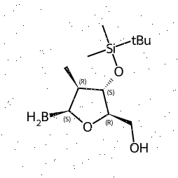 B[C@@H]1O[C@H](CO)[C@@H](O[Si](C)(C)C(C)(C)C)[C@@H]1C